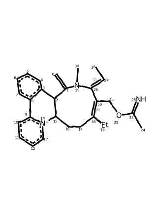 C=C1C2c3ccccc3-c3cccc[n+]3C2CC/C(CC)=C(COC(C)=N)\C(=C\C)N1C